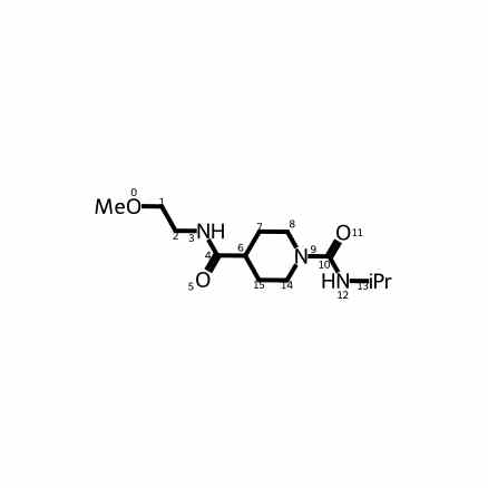 COCCNC(=O)C1CCN(C(=O)NC(C)C)CC1